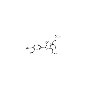 COc1ccc(C2Oc3c(OC)ccc(/C=C/C(=O)O)c3C2C(=O)O)cc1O